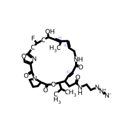 CC1=C\C(O)CC(F)Cc2nc(co2)C(=O)N2CCCC2C(=O)OC(C(C)C)C(CC(=O)NCCN=[N+]=[N-])/C=C/C(=O)NC\C=C\1